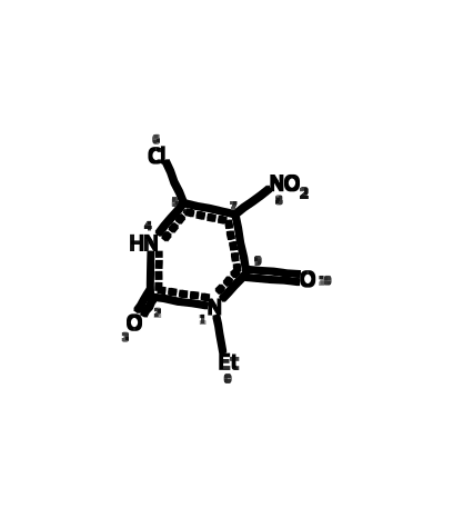 CCn1c(=O)[nH]c(Cl)c([N+](=O)[O-])c1=O